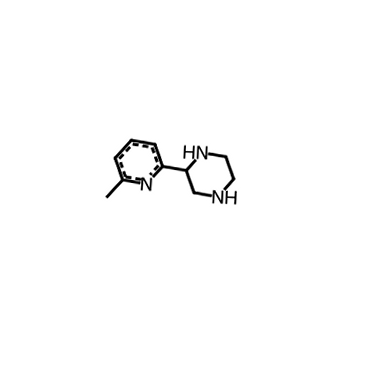 Cc1cccc(C2CNCCN2)n1